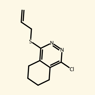 C=CCSc1nnc(Cl)c2c1CCCC2